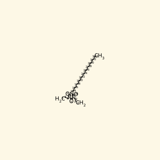 C=CCn1c(=O)n(CC=C)c(=O)n(CCCCCCCCCCCCCCCCCCCCCC)c1=O